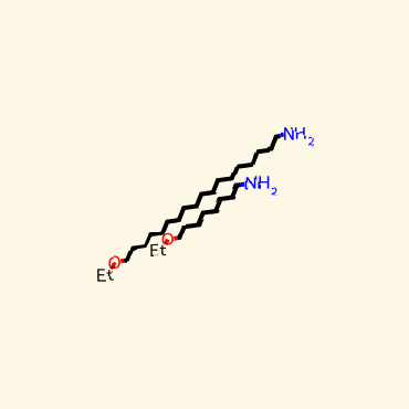 CCOCCCCCCCCCCCCCCCCCCN.CCOCCCCCCCCN